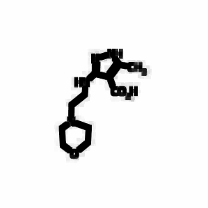 Cc1[nH]nc(NCCN2CCOCC2)c1C(=O)O